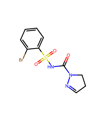 O=C(NS(=O)(=O)c1ccccc1Br)N1CCC=N1